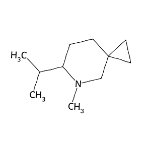 CC(C)C1CCC2(CC2)CN1C